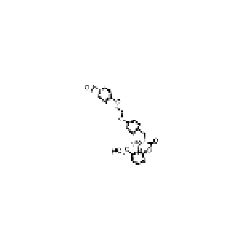 COC(=O)[C@H](Cc1ccc(OCCOc2ccc([N+](=O)[O-])cn2)cc1)Nc1ccccc1C(=O)O